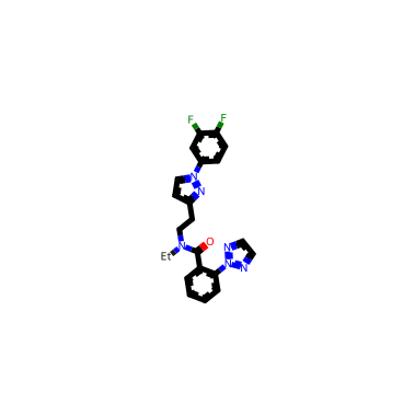 CCN(CCc1ccn(-c2ccc(F)c(F)c2)n1)C(=O)c1ccccc1-n1nccn1